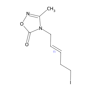 Cc1noc(=O)n1C/C=C/CCI